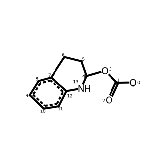 [O]C(=O)OC1CCc2ccccc2N1